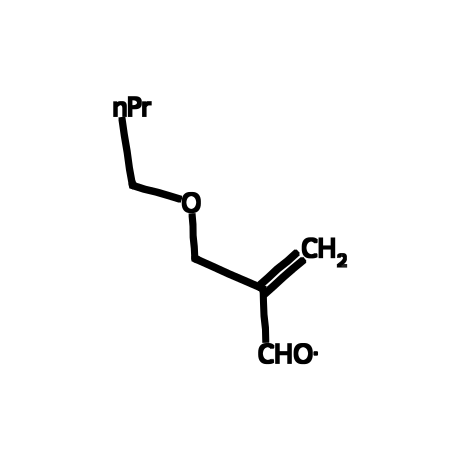 C=C([C]=O)COCCCC